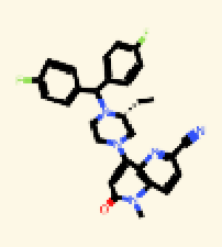 CC[C@@H]1CN(c2cc(=O)n(C)c3ccc(C#N)nc23)CCN1C(c1ccc(F)cc1)c1ccc(F)cc1